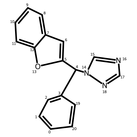 c1ccc(C(c2cc3ccccc3o2)n2cncn2)cc1